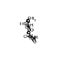 Cc1ccc(C(CO)NC(=O)CN2Cc3ccc(C4=C(Cl)CNC(NC5CCOCC5)=N4)cc3C2=O)cc1